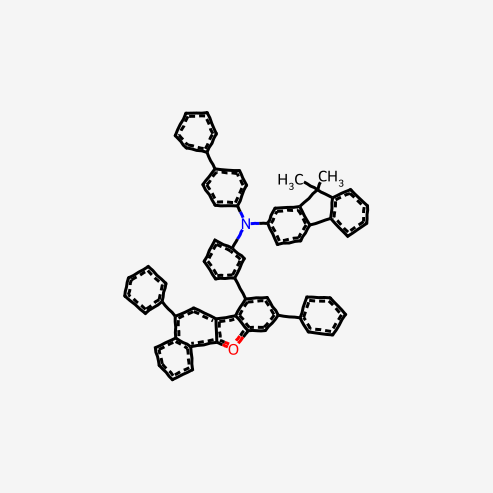 CC1(C)c2ccccc2-c2ccc(N(c3ccc(-c4ccccc4)cc3)c3cccc(-c4cc(-c5ccccc5)cc5oc6c7ccccc7c(-c7ccccc7)cc6c45)c3)cc21